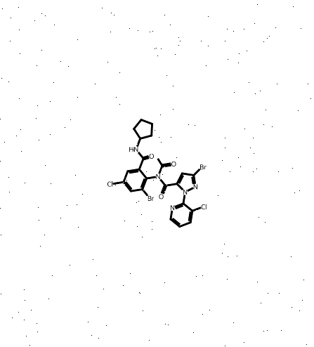 CC(=O)N(C(=O)c1cc(Br)nn1-c1ncccc1Cl)c1c(Br)cc(Cl)cc1C(=O)NC1CCCC1